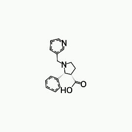 O=C(O)[C@H]1CCN(Cc2cccnc2)[C@H]1c1ccccc1